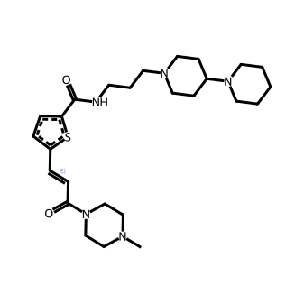 CN1CCN(C(=O)/C=C/c2ccc(C(=O)NCCCN3CCC(N4CCCCC4)CC3)s2)CC1